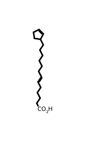 O=C(O)CCCCC=CCCCCCCC1C=CCC1